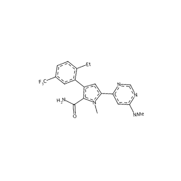 CCc1ccc(C(F)(F)F)cc1-c1cc(-c2cc(NC)ncn2)n(C)c1C(N)=O